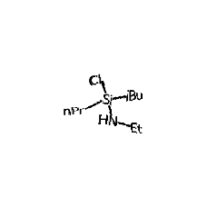 CCC[Si](Cl)(NCC)C(C)CC